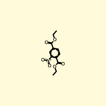 CCOC(=O)c1ccc(C(=O)OCC)c([N+](=O)[O-])c1